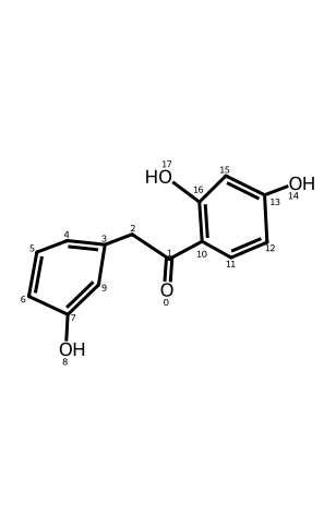 O=C(Cc1cccc(O)c1)c1ccc(O)cc1O